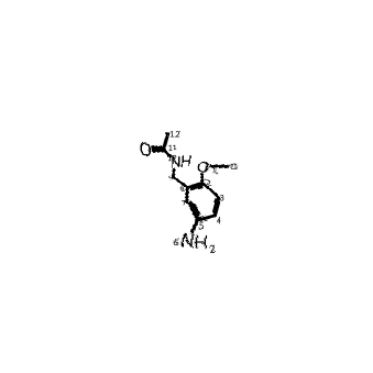 COc1ccc(N)cc1CNC(C)=O